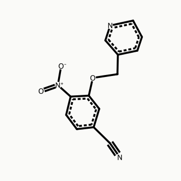 N#Cc1ccc([N+](=O)[O-])c(OCc2cccnc2)c1